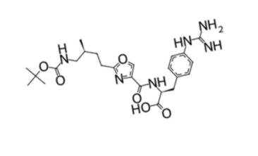 C[C@@H](CCc1nc(C(=O)N[C@@H](Cc2ccc(NC(=N)N)cc2)C(=O)O)co1)CNC(=O)OC(C)(C)C